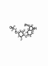 Cc1cc(OCP(C)(C)=O)cc(C)c1Cc1ccc2[nH]cc(C(C)C)c2c1